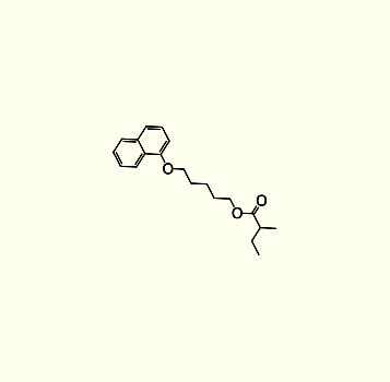 CCC(C)C(=O)OCCCCCOc1cccc2ccccc12